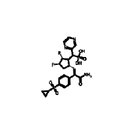 NC(=O)/C(=C/[C@@H]1C[C@H](F)[C@H](F)C1C(c1cnccn1)P(=O)(O)O)c1ccc(S(=O)(=O)C2CC2)cc1